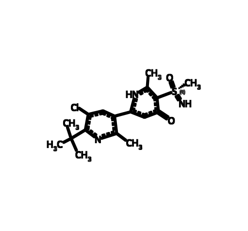 Cc1nc(C(C)(C)C)c(Cl)cc1-c1cc(=O)c([S@](C)(=N)=O)c(C)[nH]1